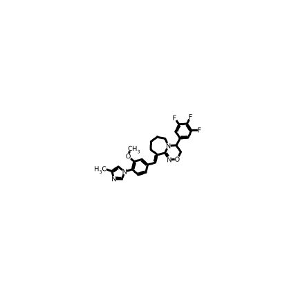 COc1cc(/C=C2\CCCCN3C2=NOCC3c2cc(F)c(F)c(F)c2)ccc1-n1cnc(C)c1